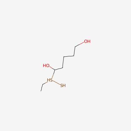 CC[SH](S)C(O)CCCCO